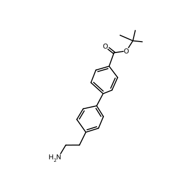 CC(C)(C)OC(=O)c1ccc(-c2ccc(CCN)cc2)cc1